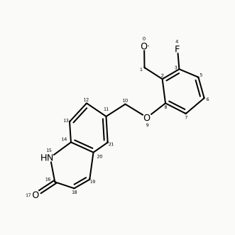 [O]Cc1c(F)cccc1OCc1ccc2[nH]c(=O)ccc2c1